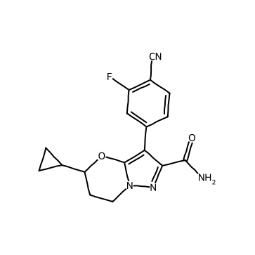 N#Cc1ccc(-c2c(C(N)=O)nn3c2OC(C2CC2)CC3)cc1F